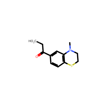 CN1CCSc2ccc(C(=O)CC(=O)O)cc21